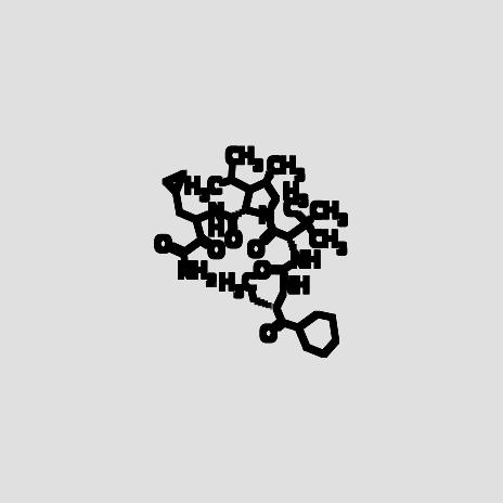 CC[C@H](NC(=O)N[C@H](C(=O)N1C[C@H](C)C(C(C)C)[C@H]1C(=O)NC(CC1CC1)C(=O)C(N)=O)C(C)(C)C)C(=O)C1CCCCC1